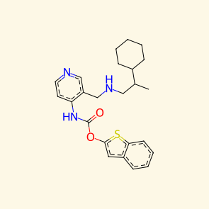 CC(CNCc1cnccc1NC(=O)Oc1cc2ccccc2s1)C1CCCCC1